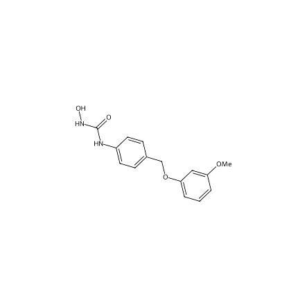 COc1cccc(OCc2ccc(NC(=O)NO)cc2)c1